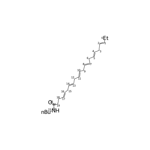 CCC=CCC=CCC=CCC=CCC=CCC=CCCC(=O)NCCCC